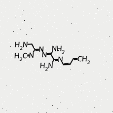 C=C\C=C/N=C(N)/C(N)=N/N=C(/CN)N=C